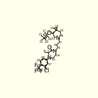 CC1C(=O)N(CCCN2CCC3(CC3)C(O[Si](C)(C)C(C)(C)C)C2)CCN1c1ccc(C(F)(F)F)c(Cl)c1